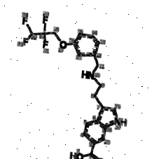 O=C(O)c1ccc2c(CCNCc3cccc(OCC(F)(F)C(F)F)c3)c[nH]c2c1